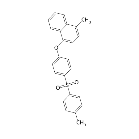 Cc1ccc(S(=O)(=O)c2ccc(Oc3ccc(C)c4ccccc34)cc2)cc1